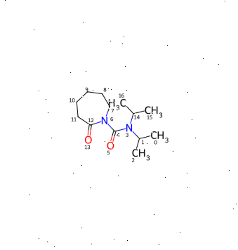 CC(C)N(C(=O)N1CCCCCC1=O)C(C)C